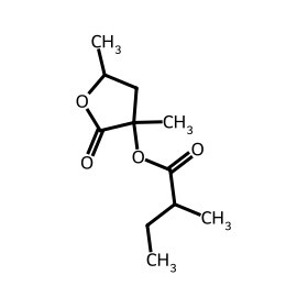 CCC(C)C(=O)OC1(C)CC(C)OC1=O